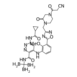 BC(B)(B)NC(=O)c1nnc(NC(=O)C2CC2)cc1Nc1cccc(-c2nc(CN3CCN(C(=O)CC#N)CC3=O)no2)c1OC